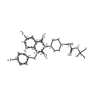 CC(C)(C)OC(=O)N[C@H]1CC[C@@H](n2c(=O)c3cc(F)cnc3n(Cc3ccc(F)cc3)c2=O)CC1